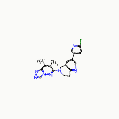 Cc1c(N2CCc3ncc(-c4ccc(F)nc4)cc3C2)nn2cnnc2c1C